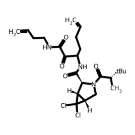 C=CCCNC(=O)C(=O)C(CCC=C)NC(=O)[C@@H]1[C@@H]2[C@H](CN1C(=O)[C@@H](C)C(C)(C)C)C2(Cl)Cl